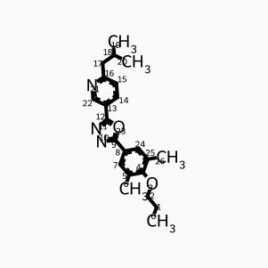 CCCOc1c(C)cc(-c2nnc(-c3ccc(CC(C)C)nc3)o2)cc1C